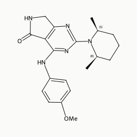 COc1ccc(Nc2nc(N3[C@H](C)CCC[C@@H]3C)nc3c2C(=O)NC3)cc1